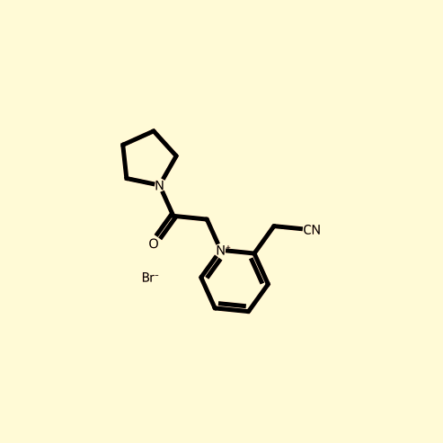 N#CCc1cccc[n+]1CC(=O)N1CCCC1.[Br-]